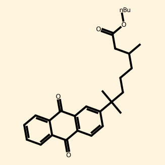 CCCCOC(=O)CC(C)CCCC(C)(C)c1ccc2c(c1)C(=O)c1ccccc1C2=O